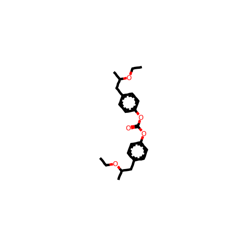 CCOC(C)Cc1ccc(OC(=O)Oc2ccc(CC(C)OCC)cc2)cc1